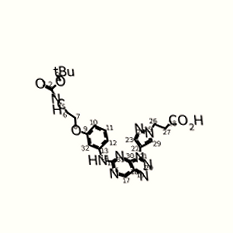 CC(C)(C)OC(=O)NCCCOc1cccc(Nc2ncc3nnn(-c4cnn(CCC(=O)O)c4)c3n2)c1